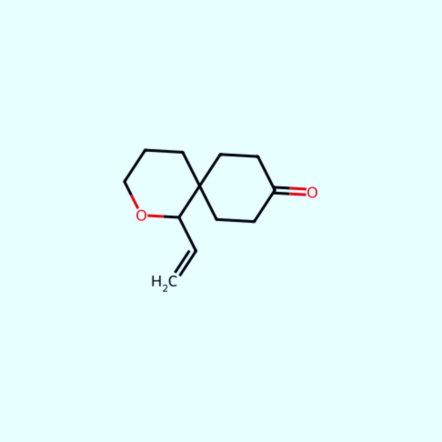 C=CC1OCCCC12CCC(=O)CC2